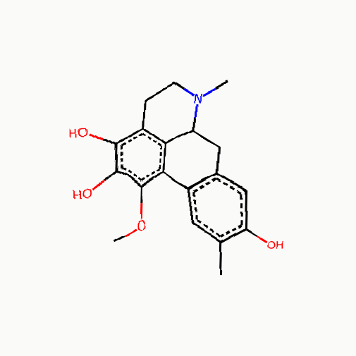 COc1c(O)c(O)c2c3c1-c1cc(C)c(O)cc1CC3N(C)CC2